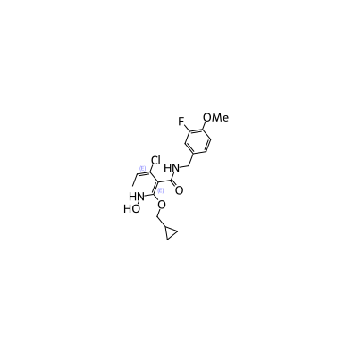 C/C=C(Cl)\C(C(=O)NCc1ccc(OC)c(F)c1)=C(/NO)OCC1CC1